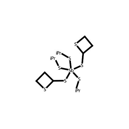 CC(C)[S][Sb]([S]C(C)C)([S]C(C)C)([S]C1CCS1)[S]C1CCS1